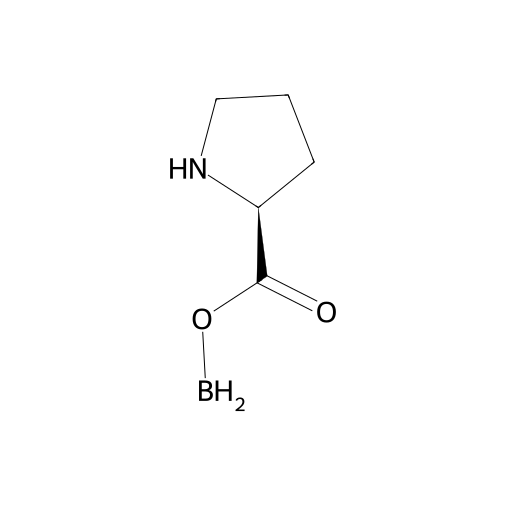 BOC(=O)[C@@H]1CCCN1